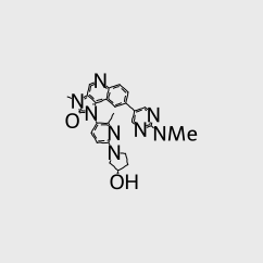 CNc1ncc(-c2ccc3ncc4c(c3c2)n(-c2ccc(N3CC[C@@H](O)C3)nc2C)c(=O)n4C)cn1